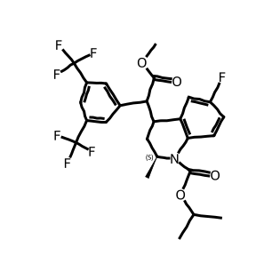 COC(=O)C(c1cc(C(F)(F)F)cc(C(F)(F)F)c1)C1C[C@H](C)N(C(=O)OC(C)C)c2ccc(F)cc21